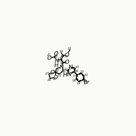 COC(=O)N[C@H](C(=O)N1CC2(C[C@H]1c1ncc(-c3ccc(Br)cc3)[nH]1)OCCO2)[C@@H](C)OC